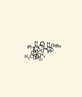 CC(C)[C@H](NC(=O)[C@@H]1CCCN1C(=O)[C@@H](NC(=O)OC(C)(C)C)C(C)C)B1OC(C)(C)C(C)(C)O1